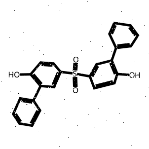 O=S(=O)(c1ccc(O)c(-c2ccccc2)c1)c1ccc(O)c(-c2ccccc2)c1